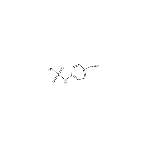 CCCS(=O)(=O)Nc1ccc(C(=O)O)cc1